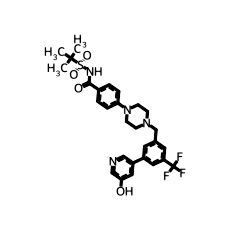 CC(C)(C)S(=O)(=O)NC(=O)c1ccc(N2CCN(Cc3cc(-c4cncc(O)c4)cc(C(F)(F)F)c3)CC2)cc1